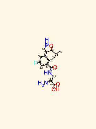 CC(C)C1ONCC1c1cc(F)cc(C(=O)NC[C@@H](N)C(=O)O)c1